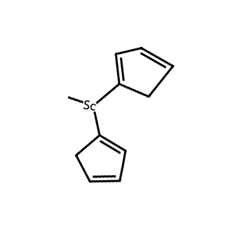 [CH3][Sc]([C]1=CC=CC1)[C]1=CC=CC1